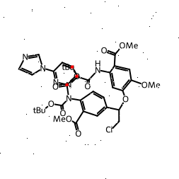 COC(=O)c1cc(OC)c(OC(CCl)c2ccc(N(C(=O)OC(C)(C)C)C(=O)OC(C)(C)C)c(C(=O)OC)c2)cc1NC(=O)c1ccc(-n2ccnc2)nn1